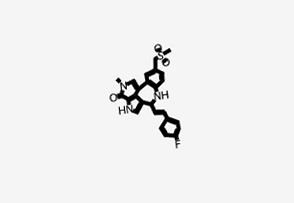 Cn1cc2c3c(c[nH]c3c1=O)C(C=Cc1ccc(F)cc1)Nc1ccc(CS(C)(=O)=O)cc1-2